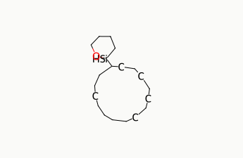 C1CCCCCCCC([SiH]2CCCCO2)CCCCCC1